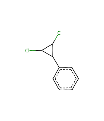 ClC1C(Cl)C1c1ccccc1